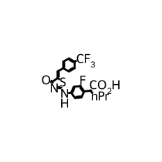 CCCC(C(=O)O)c1ccc(NC2=NC(=O)C(=Cc3ccc(C(F)(F)F)cc3)S2)cc1F